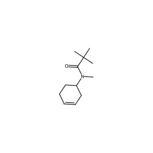 CN(C(=O)C(C)(C)C)C1CC=[C]CC1